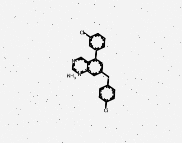 Clc1ccc(Cc2cc(-c3cccc(Cl)c3)c3cncnc3c2)cc1.N